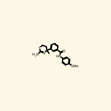 CSc1ccc(NC(=O)c2cccc(C3(C)CCSC(N)=N3)c2)cc1